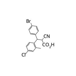 Cc1cc(Cl)ccc1C(c1ccc(Br)cc1)C(C#N)C(=O)O